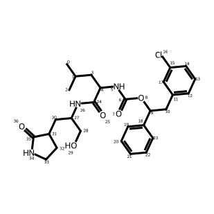 CC(C)CC(NC(=O)OC(Cc1cccc(Cl)c1)c1ccccc1)C(=O)NC(CO)CC1CCNC1=O